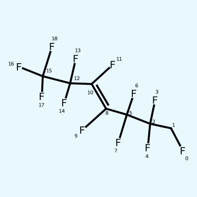 FCC(F)(F)C(F)(F)C(F)=C(F)C(F)(F)C(F)(F)F